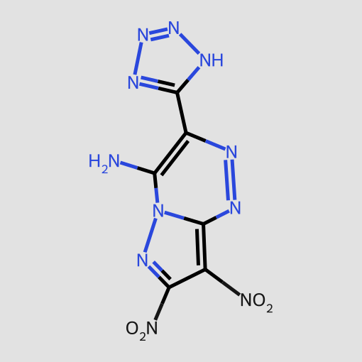 Nc1c(-c2nnn[nH]2)nnc2c([N+](=O)[O-])c([N+](=O)[O-])nn12